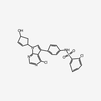 O=S(=O)(Nc1ccc(-c2cn(C3C=CC(O)C3)c3ncnc(Cl)c23)cc1)c1ccccc1Cl